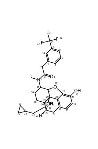 CN(C(=O)Cc1cccc(C(F)(F)F)c1)C1CC[C@@]2(O)[C@H]3Cc4ccc(O)c5c4[C@@]2(CCN3CC2CC2)C1O5